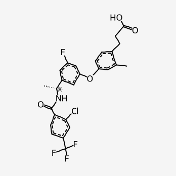 Cc1cc(Oc2cc(F)cc([C@@H](C)NC(=O)c3ccc(C(F)(F)F)cc3Cl)c2)ccc1CCC(=O)O